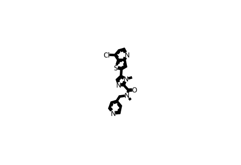 CN(Cc1ccncc1)C(=O)c1ncc(-c2cc3nccc(Cl)c3s2)n1C